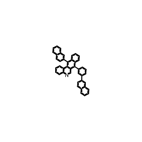 c1cc(-c2ccc3ccccc3c2)cc(-c2c3ccccc3c(-c3ccc4ccccc4c3)c3c2cnc2ccccc23)c1